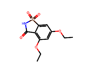 CCOc1cc(OCC)c2c(c1)S(=O)(=O)NC2=O